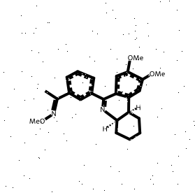 CON=C(C)c1cccc(C2=N[C@@H]3CCCC[C@@H]3c3cc(OC)c(OC)cc32)c1